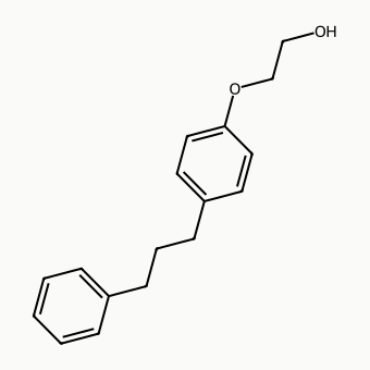 OCCOc1ccc(CCCc2ccccc2)cc1